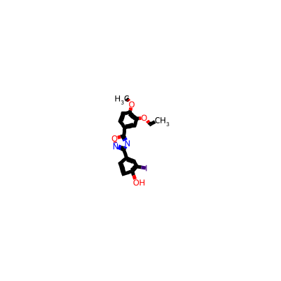 CCOc1cc(-c2nc(-c3ccc(O)c(I)c3)no2)ccc1OC